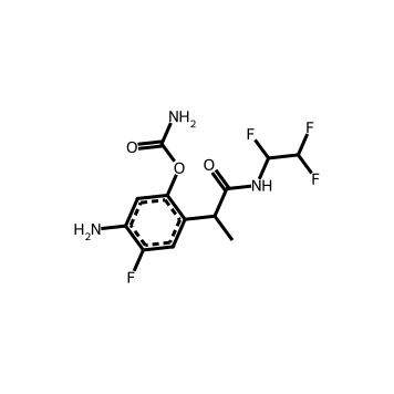 CC(C(=O)NC(F)C(F)F)c1cc(F)c(N)cc1OC(N)=O